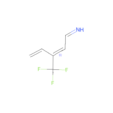 C=C/C(=C\C=N)C(F)(F)F